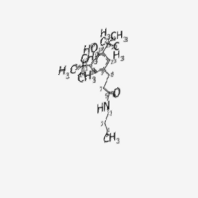 CCCCNC(=O)CCc1cc(C(C)(C)C)c(O)c(C(C)(C)C)c1